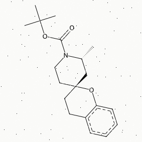 C[C@@H]1C[C@@]2(CCc3ccccc3O2)CCN1C(=O)OC(C)(C)C